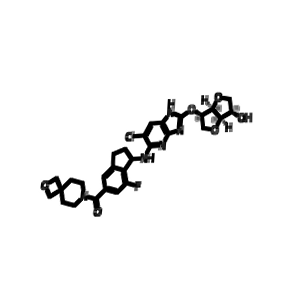 O=C(c1cc(F)c2c(c1)CCC2Nc1nc2nc(O[C@@H]3CO[C@H]4[C@@H]3OC[C@H]4O)[nH]c2cc1Cl)N1CCC2(CC1)COC2